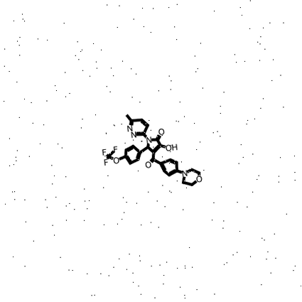 Cc1ccc(N2C(=O)C(O)=C(C(=O)c3ccc(N4CCOCC4)cc3)C2c2ccc(OC(F)(F)F)cc2)nn1